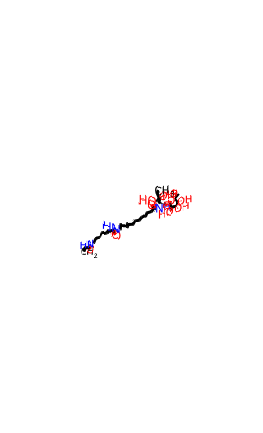 C=CC(=O)NCCCCCCC(=O)NCCCCCCCCCCCC(=O)N[C@@H](CO[C@H]1OC(CO)[C@H](O)[C@H](O)C1O)[C@H](O)[C@H](O)CC